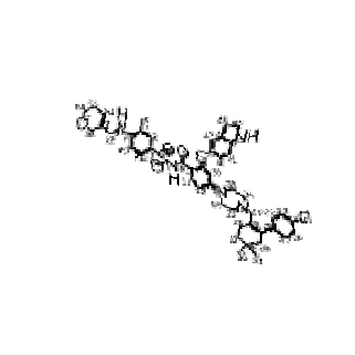 Cc1cc(S(=O)(=O)NC(=O)c2ccc(N3CCN(CC4=C(c5ccc(Cl)cc5)CC(C)(C)CC4)CC3)cc2Oc2ccc3[nH]ccc3c2)ccc1NCC1CCCOC1